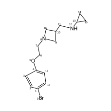 Brc1ccc(OCCN2CC(CNC3CC3)C2)cc1